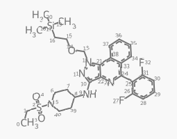 CCS(=O)(=O)N1CCC(Nc2nn(COCC[Si](C)(C)C)c3c2nc(-c2c(F)cccc2F)c2ccccc23)CC1